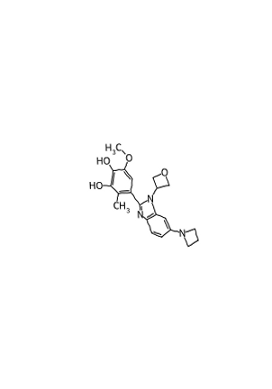 COc1cc(-c2nc3ccc(N4CCC4)cc3n2C2COC2)c(C)c(O)c1O